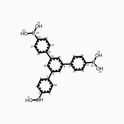 OBc1ccc(-c2cc(-c3ccc(B(O)O)cc3)cc(-c3ccc(B(O)O)cc3)c2)cc1